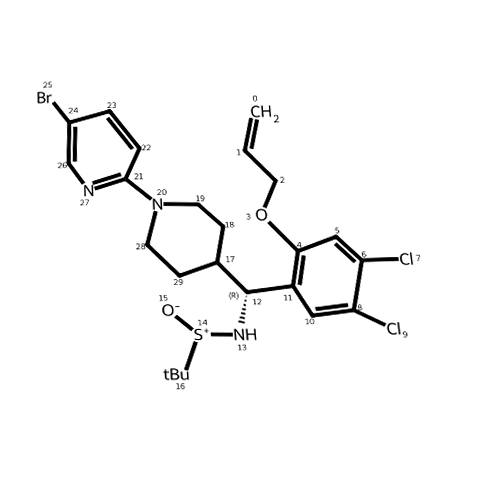 C=CCOc1cc(Cl)c(Cl)cc1[C@H](N[S+]([O-])C(C)(C)C)C1CCN(c2ccc(Br)cn2)CC1